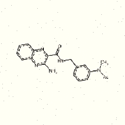 CC(=O)N(C)c1cccc(CNC(=O)c2nc3ccccc3nc2N)c1